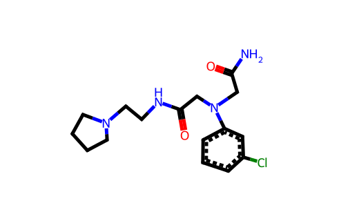 NC(=O)CN(CC(=O)NCCN1CCCC1)c1cccc(Cl)c1